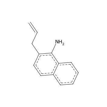 C=CCc1ccc2ccccc2c1N